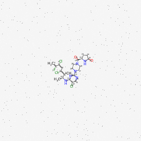 C=C(F)/C(Cl)=C\C(Cl)=C(/C)C(C)Nc1nc(N2CCN(C(=O)[C@H]3CCC(=O)N3)CC2)ncc1Cl